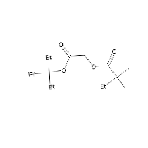 CCC(C)(C)C(=O)OCC(=O)OC(CC)(CC)C(C)C